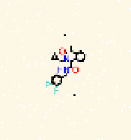 CCc1ccccc1C(C(=O)NCc1ccc(F)c(F)c1)N(C=O)CC1CC1